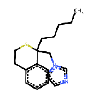 CCCCCC1(Cn2ccnc2)SCCc2ccccc21